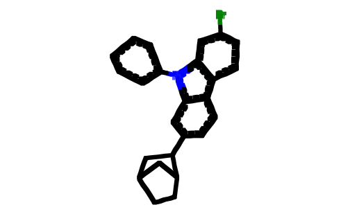 Brc1ccc2c3ccc(C4CC5CCC4C5)cc3n(-c3ccccc3)c2c1